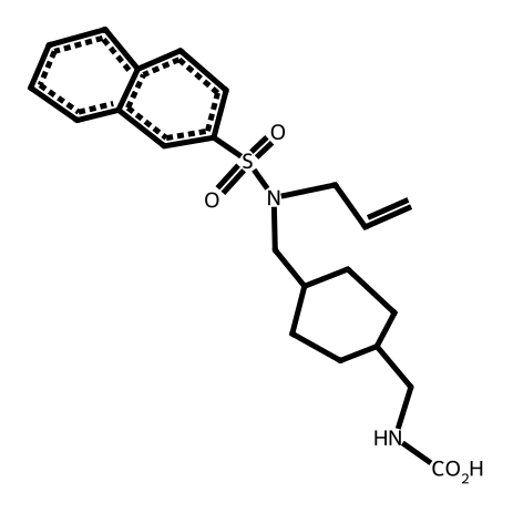 C=CCN(CC1CCC(CNC(=O)O)CC1)S(=O)(=O)c1ccc2ccccc2c1